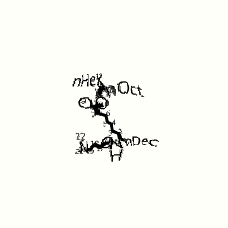 CCCCCCCCCCC(CCCCCCC(=O)OCC(CCCCCC)CCCCCCCC)NOCCCN(C)C